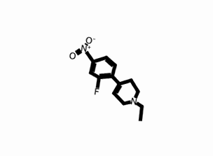 CCN1CC=C(c2ccc([N+](=O)[O-])cc2F)CC1